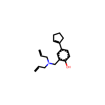 C=CCN(CC=C)Cc1cc(C2=CCCC2)ccc1O